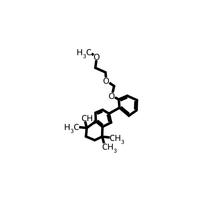 COCCOCOc1ccccc1-c1ccc2c(c1)C(C)(C)CCC2(C)C